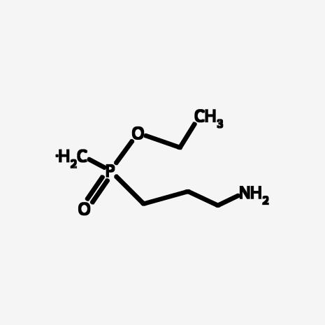 [CH2]P(=O)(CCCN)OCC